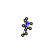 c1ccc(-c2nc(-n3c4ccccc4c4c5ccc(-c6cccc7c6sc6ccccc67)cc5c5c6ccccc6sc5c43)c3sc4ccc5ccccc5c4c3n2)cc1